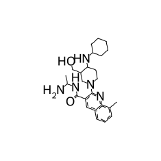 Cc1cccc2cc(C(=O)NC(C)N)c(N3CCC(NC4CCCCC4)C(CO)C3)nc12